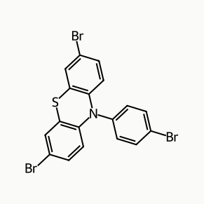 Brc1ccc(N2c3ccc(Br)cc3Sc3cc(Br)ccc32)cc1